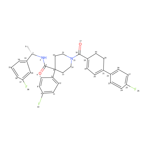 C[C@H](NC(=O)C1(c2ccc(F)cc2)CCN(C(=O)C2=CC=C(c3ccc(F)cc3)CC2)CC1)c1cccc(F)c1